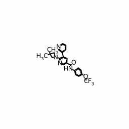 CC1(C)CN(c2ncc(C(=O)Nc3ccc(OC(F)(F)F)cc3)cc2-c2cccnc2)C1